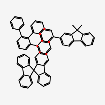 CC1(C)c2ccccc2-c2ccc(-c3cccc(N(c4ccc5c(c4)C4(c6ccccc6-c6ccccc64)c4ccccc4-5)c4cccc(-c5ccccc5)c4-c4ccccc4-c4ccccc4)c3)cc21